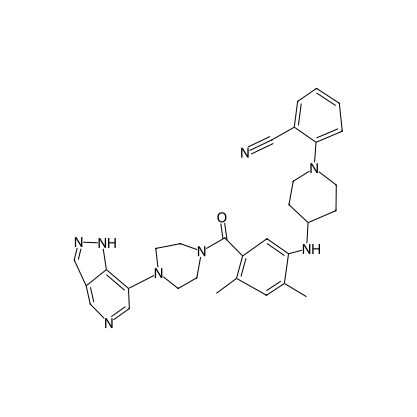 Cc1cc(C)c(C(=O)N2CCN(c3cncc4cn[nH]c34)CC2)cc1NC1CCN(c2ccccc2C#N)CC1